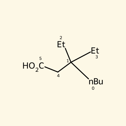 CCCCC(CC)(CC)CC(=O)O